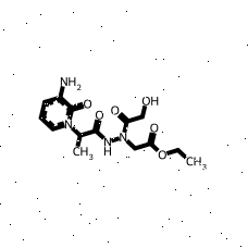 CCOC(=O)CN(NC(=O)C(C)n1cccc(N)c1=O)C(=O)CO